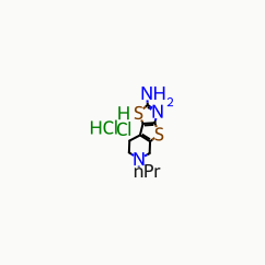 CCCN1CCc2c(sc3nc(N)sc23)C1.Cl.Cl